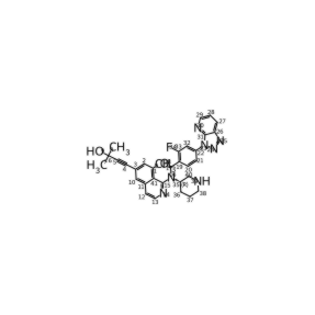 Cc1cc(C#CC(C)(C)O)cc2ccnc(N(C(=O)c3ccc(-n4nnc5cccnc54)cc3F)[C@@H]3CCCNC3)c12